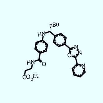 CCCC[C@@H](Nc1ccc(C(=O)NCCC(=O)OCC)cc1)c1ccc(-c2nnc(-c3ccccn3)o2)cc1